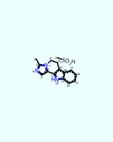 CS(=O)(=O)O.Cc1ncc2n1CCc1c-2[nH]c2ccccc12